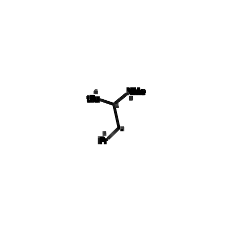 CNC(CC(C)C)C(C)(C)C